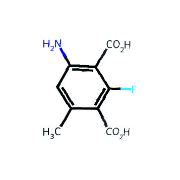 Cc1cc(N)c(C(=O)O)c(F)c1C(=O)O